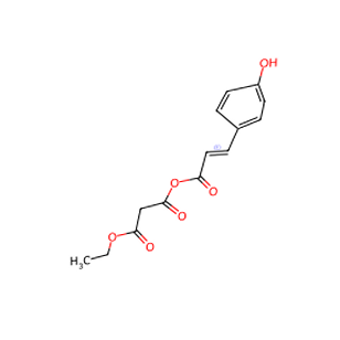 CCOC(=O)CC(=O)OC(=O)/C=C/c1ccc(O)cc1